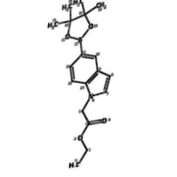 CCOC(=O)Cn1ccc2cc(B3OC(C)(C)C(C)(C)O3)ccc21